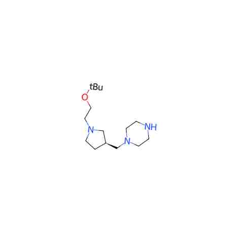 CC(C)(C)OCCN1CC[C@H](CN2CCNCC2)C1